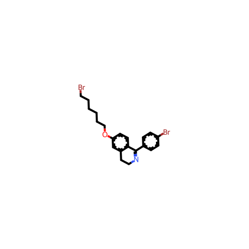 BrCCCCCCOc1ccc2c(c1)CCN=C2c1ccc(Br)cc1